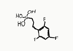 O[Si](O)(O)CCc1c(F)cc(F)cc1F